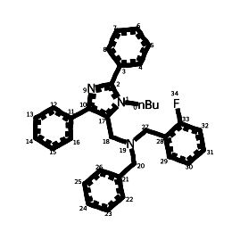 CCCCn1c(-c2ccccc2)nc(-c2ccccc2)c1CN(Cc1ccccc1)Cc1ccccc1F